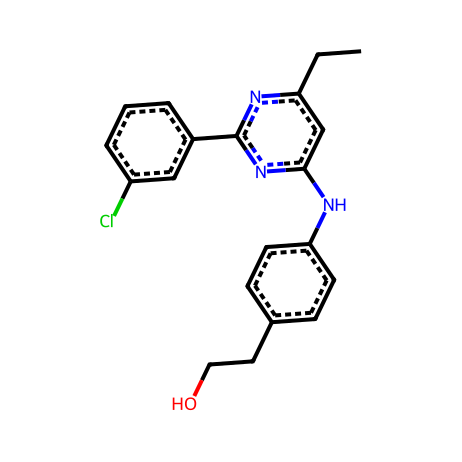 CCc1cc(Nc2ccc(CCO)cc2)nc(-c2cccc(Cl)c2)n1